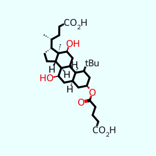 C[C@H](CCC(=O)O)[C@H]1CC[C@H]2[C@@H]3[C@H](O)C[C@@H]4C[C@H](OC(=O)CCCC(=O)O)CC(C(C)(C)C)[C@]4(C)[C@H]3C[C@H](O)[C@]12C